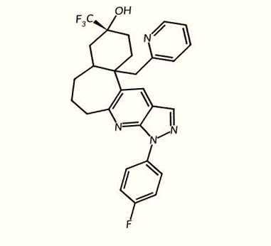 O[C@]1(C(F)(F)F)CCC2(Cc3ccccn3)c3cc4cnn(-c5ccc(F)cc5)c4nc3CCCC2C1